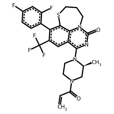 C=CC(=O)N1CCN(c2nc(=O)n3c4c(c(-c5ccc(F)cc5F)c(C(F)(F)F)cc24)SCCC3)[C@@H](C)C1